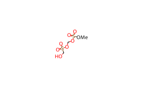 COS(=O)(=O)OCOS(=O)(=O)CO